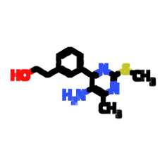 CSc1nc(C)c(N)c(-c2cccc(CCO)c2)n1